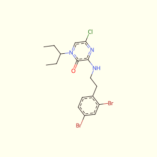 CCC(CC)n1cc(Cl)nc(NCCc2ccc(Br)cc2Br)c1=O